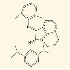 Cc1cccc(C)c1N=C1C(=Nc2c(C(C)C)cccc2C(C)C)c2cccc3cccc1c23